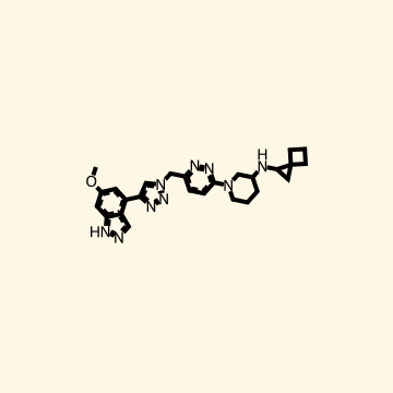 COc1cc(-c2cn(Cc3ccc(N4CCCC(NC5CC56CCC6)C4)nn3)nn2)c2cn[nH]c2c1